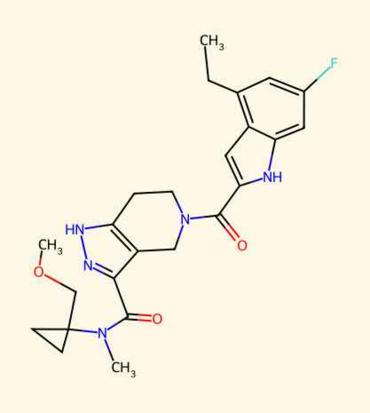 CCc1cc(F)cc2[nH]c(C(=O)N3CCc4[nH]nc(C(=O)N(C)C5(COC)CC5)c4C3)cc12